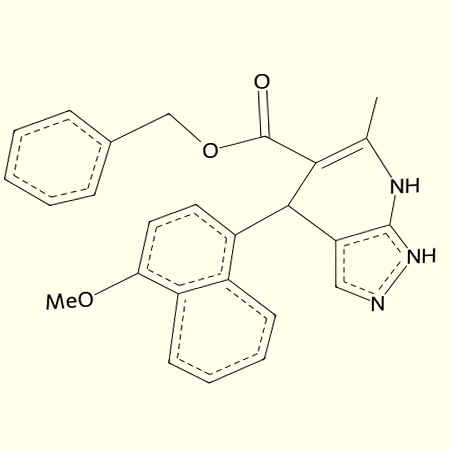 COc1ccc(C2C(C(=O)OCc3ccccc3)=C(C)Nc3[nH]ncc32)c2ccccc12